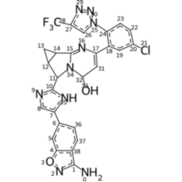 Nc1noc2cc(-c3cnc(C4C5CC5C5=NC(c6cc(Cl)ccc6-n6cc(C(F)(F)F)nn6)=CC(O)N54)[nH]3)ccc12